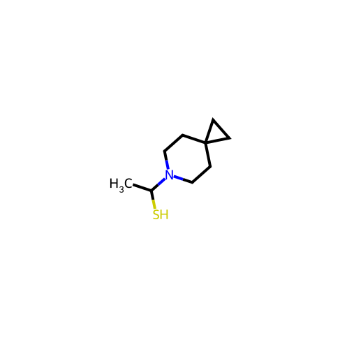 CC(S)N1CCC2(CC1)CC2